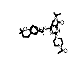 CC(=O)N1CCN(c2nc(N[C@H](C)c3ccc4c(c3)CCC(C)(C)O4)c3c(n2)C(=O)N(C(C)C)C3)CC1